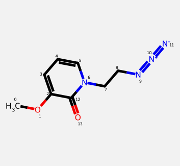 COc1cccn(CCN=[N+]=[N-])c1=O